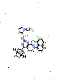 CN1CCC[C@H]1COc1nc2c(c([C@@H]3C[C@H]4CC[C@@H](C3)N4)n1)CCN(c1cccc3ccc(F)c(Cl)c13)C2